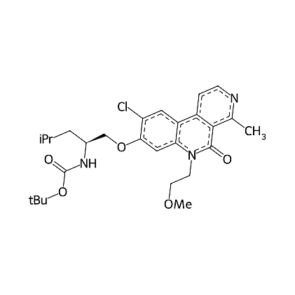 COCCn1c(=O)c2c(C)nccc2c2cc(Cl)c(OC[C@H](CC(C)C)NC(=O)OC(C)(C)C)cc21